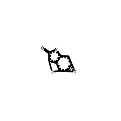 O=c1nc2cc3oc3c3c2c1O3